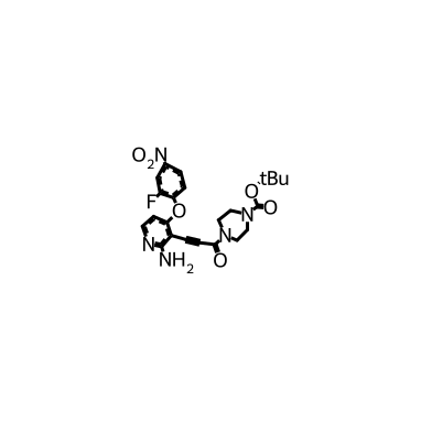 CC(C)(C)OC(=O)N1CCN(C(=O)C#Cc2c(Oc3ccc([N+](=O)[O-])cc3F)ccnc2N)CC1